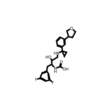 O=C(O)NC(Cc1cc(F)cc(F)c1)C(O)CNC1(c2cccc(C3CCOC3)c2)CC1